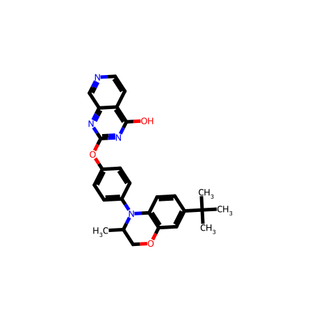 CC1COc2cc(C(C)(C)C)ccc2N1c1ccc(Oc2nc(O)c3ccncc3n2)cc1